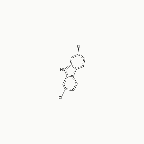 Clc1ccc2c(c1)[nH]c1cc(Cl)ccc12